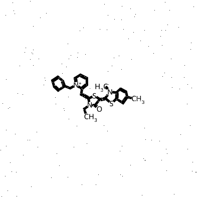 CCn1c(=O)/c(=C2\Sc3cc(C)ccc3N2C)s/c1=C\c1cccc[n+]1Cc1ccccc1